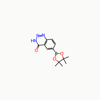 CC1(C)OB(c2ccc3nn[nH]c(=O)c3c2)OC1(C)C